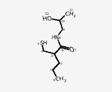 CCCC(CS)C(=O)NCC(C)O